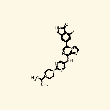 CC(C)N1CCN(c2ncc(Nc3ncc(-c4cc(F)c5c(c4)CNC5=O)n4ccnc34)cn2)CC1